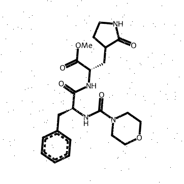 COC(=O)[C@H](CC1CCNC1=O)NC(=O)[C@H](Cc1ccccc1)NC(=O)N1CCOCC1